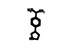 CC(N)c1ccc(C2CCNC2)cc1